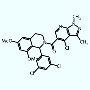 COc1cc2c(c(OC)c1)C(c1cc(Cl)cc(Cl)c1)N(C(=O)c1cnc3c(c(C)nn3C)c1Cl)CC2